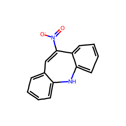 O=[N+]([O-])C1=Cc2ccccc2Nc2ccccc21